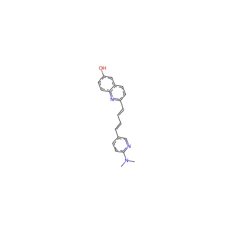 CN(C)c1ccc(C=CC=Cc2ccc3cc(O)ccc3n2)cn1